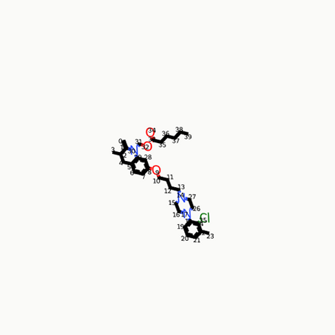 C=C1C(C)Cc2ccc(OCCCCN3CCN(c4cccc(C)c4Cl)CC3)cc2N1COC(=O)CCCCC